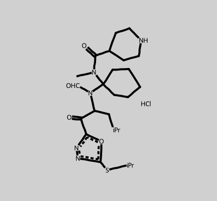 CC(C)CC(C(=O)c1nnc(SC(C)C)o1)N(C=O)C1(N(C)C(=O)C2CCNCC2)CCCCC1.Cl